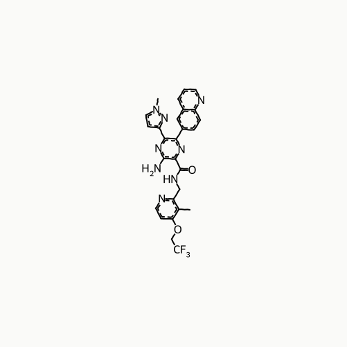 Cc1c(OCC(F)(F)F)ccnc1CNC(=O)c1nc(-c2ccc3ncccc3c2)c(-c2ccn(C)n2)nc1N